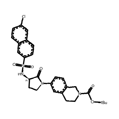 CC(C)(C)OC(=O)N1CCc2cc(N3CC[C@@H](NS(=O)(=O)c4ccc5cc(Cl)ccc5c4)C3=O)ccc2C1